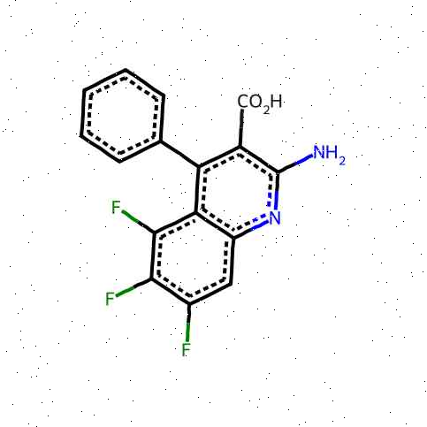 Nc1nc2cc(F)c(F)c(F)c2c(-c2ccccc2)c1C(=O)O